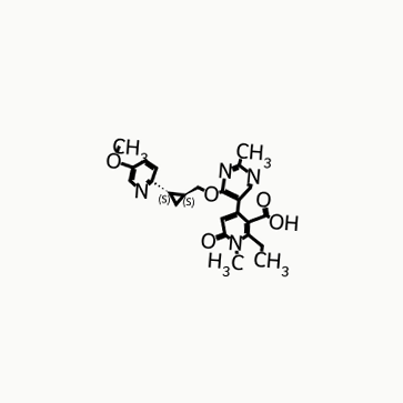 CCc1c(C(=O)O)c(-c2cnc(C)nc2OC[C@H]2C[C@@H]2c2ccc(OC)cn2)cc(=O)n1C